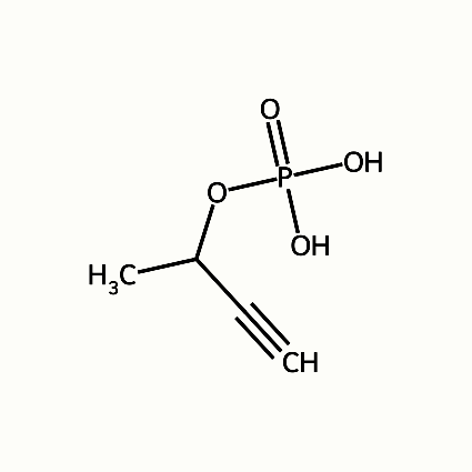 C#CC(C)OP(=O)(O)O